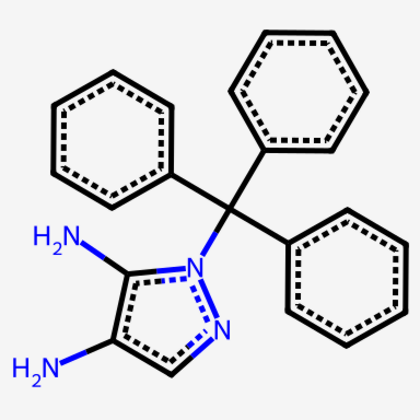 Nc1cnn(C(c2ccccc2)(c2ccccc2)c2ccccc2)c1N